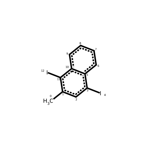 Cc1cc(I)c2ccccc2c1I